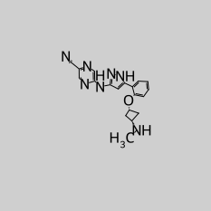 CN[C@H]1C[C@H](Oc2ccccc2-c2cc(Nc3cnc(C#N)cn3)n[nH]2)C1